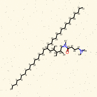 CCCCCCCCCCCCCCCCC(CCCCCCCCCCCCCCCC)CC(C)C(C)C(C)CN(C)C(=O)CCCN(C)C